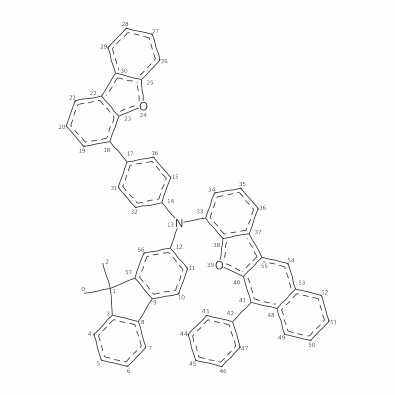 CC1(C)c2ccccc2-c2ccc(N(c3ccc(-c4cccc5c4oc4ccccc45)cc3)c3cccc4c3oc3c(-c5ccccc5)c5ccccc5cc34)cc21